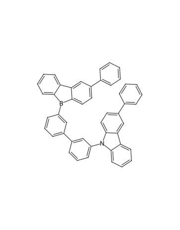 c1ccc(-c2ccc3c(c2)-c2ccccc2B3c2cccc(-c3cccc(-n4c5ccccc5c5cc(-c6ccccc6)ccc54)c3)c2)cc1